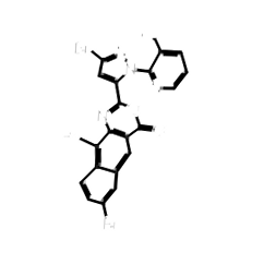 O=c1oc(-c2cc(Br)nn2-c2ncccc2Cl)nc2c(Br)c3ccc(Br)cc3cc12